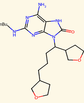 CCCCNc1nc(N)c2[nH]c(=O)n(C(CCCC3CCOC3)C3CCOC3)c2n1